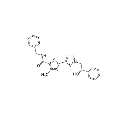 Cc1nc(-c2ccn(C[C@H](O)c3ccccc3)n2)sc1C(=O)NCc1ccccc1